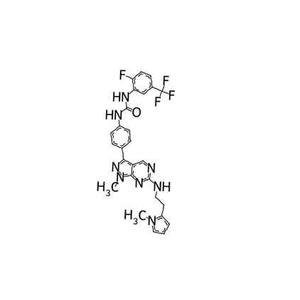 Cn1cccc1CCNc1ncc2c(-c3ccc(NC(=O)Nc4cc(C(F)(F)F)ccc4F)cc3)nn(C)c2n1